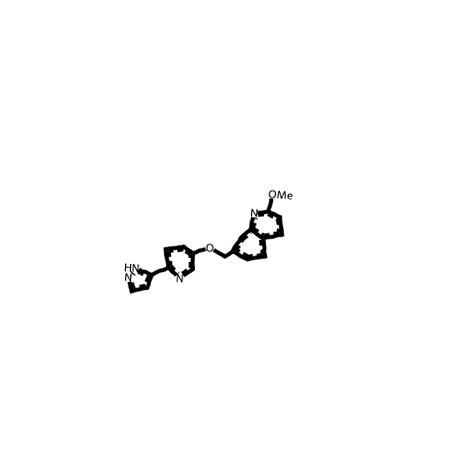 COc1ccc2ccc(COc3ccc(-c4ccn[nH]4)nc3)cc2n1